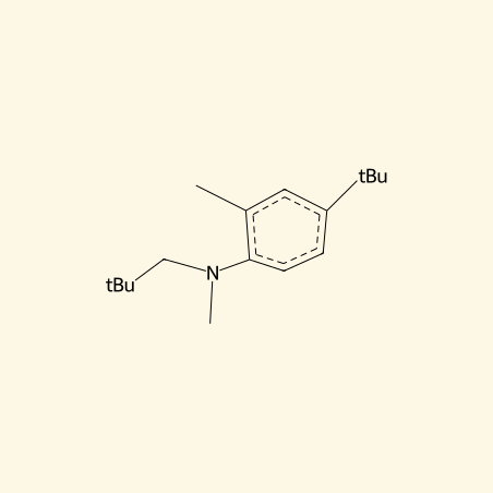 Cc1cc(C(C)(C)C)ccc1N(C)CC(C)(C)C